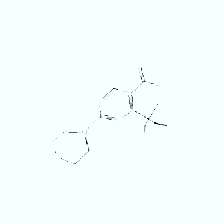 CC(C)(C)c1nc(N2CCOCC2)ncc1C(=O)O